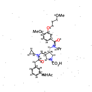 COCCCOc1cc(C(=O)N(C[C@@H]2CN(C(=O)O)C[C@H]2CN(C(=O)Cc2cccc(NC(C)=O)c2)C2CC2)C(C)C)ccc1OC